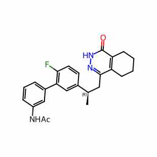 CC(=O)Nc1cccc(-c2cc([C@H](C)Cc3n[nH]c(=O)c4c3CCCC4)ccc2F)c1